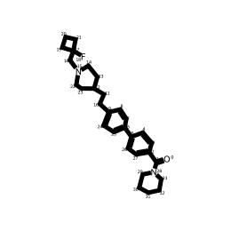 O=C(c1ccc(-c2ccc(CCC3CCN(CC4(F)CCC4)CC3)cc2)cc1)N1CCCCC1